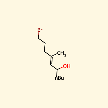 CCCCC(O)/C=C(\C)CCCBr